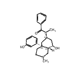 CN1CC[C@@]2(c3cccc(O)c3)C[C@@H](N(C)C(=O)c3ccccc3)CC(O)[C@@H]2C1